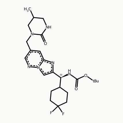 CC1CNC(=O)N(Cc2cnn3cc([C@@H](NC(=O)OC(C)(C)C)C4CCC(F)(F)CC4)nc3c2)C1